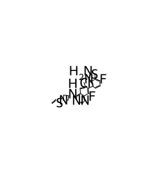 C=CSN1CC(Nc2ncnc3c(F)c(-c4ccc(F)c5sc(N)nc45)c(Cl)cc23)C1